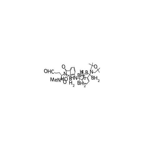 BC(B)(Nc1cccc2c1C(B)(O)N(C(CCC=O)C(=O)NC)C2=O)c1cccc(C(B)(B)N2CC(C)(C)OC(C)(C)C2)c1F